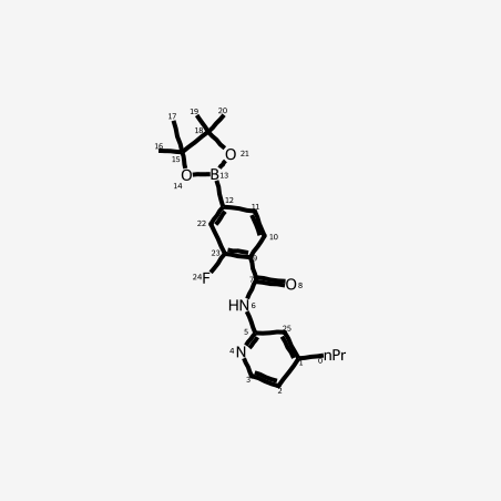 CCCc1ccnc(NC(=O)c2ccc(B3OC(C)(C)C(C)(C)O3)cc2F)c1